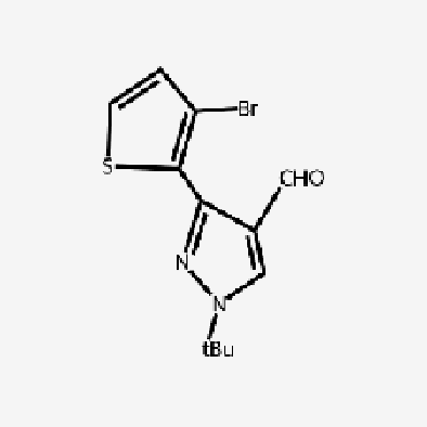 CC(C)(C)n1cc(C=O)c(-c2sccc2Br)n1